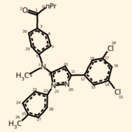 CCCC(=O)c1ccc(N(C)c2cc(-c3cc(Cl)cc(Cl)c3)nn2-c2ccc(C)cc2)cc1